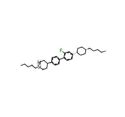 CCCCC[SiH]1CCC(c2ccc(-c3ccc([C@H]4CC[C@H](CCCCC)CC4)cc3F)cc2)CC1